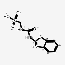 O=C(NCS(=O)(=O)O)Nc1nc2ccccc2s1